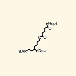 CCCCCCCCCCCCC(CCCCCCCCCC)CCCCOC(=O)CCCC(=O)CCCCCCC